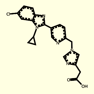 O=C(O)Cc1cn(Cc2ccc(-c3nc4ccc(Cl)cc4n3C3CC3)cn2)cn1